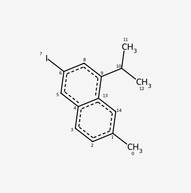 Cc1ccc2cc(I)cc(C(C)C)c2c1